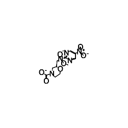 CO[N+](CC1CN(C(=O)[O-])CCO1)(OC)c1ncc([N+](=O)[O-])cn1